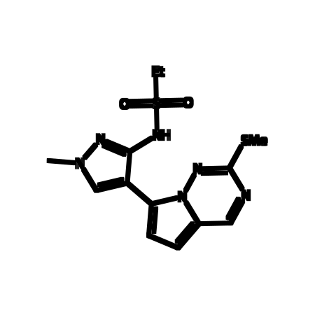 CCS(=O)(=O)Nc1nn(C)cc1-c1ccc2cnc(SC)nn12